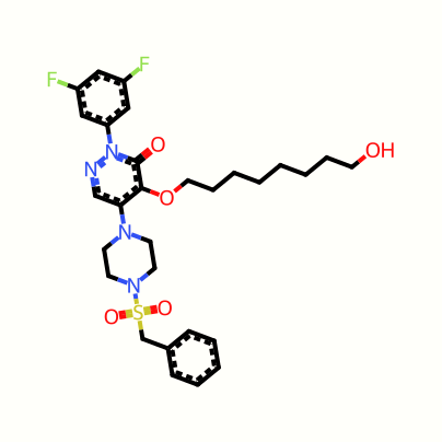 O=c1c(OCCCCCCCCO)c(N2CCN(S(=O)(=O)Cc3ccccc3)CC2)cnn1-c1cc(F)cc(F)c1